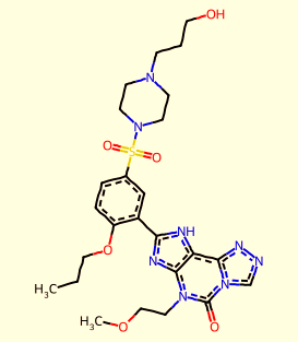 CCCOc1ccc(S(=O)(=O)N2CCN(CCCO)CC2)cc1-c1nc2c([nH]1)c1nncn1c(=O)n2CCOC